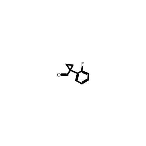 O=[C]C1(c2ccccc2F)CC1